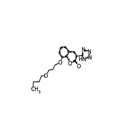 CCCCOCCCOc1cccc2cc(-c3nnn[nH]3)c(=O)oc12